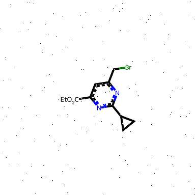 CCOC(=O)c1cc(CBr)nc(C2CC2)n1